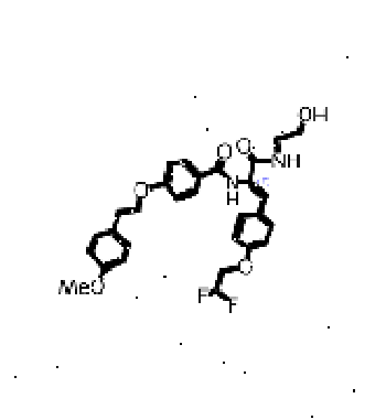 COc1ccc(CCOc2ccc(C(=O)N/C(=C\c3ccc(OCC(F)F)cc3)C(=O)NCCO)cc2)cc1